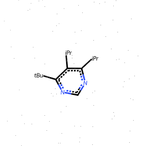 CC(C)c1ncnc(C(C)(C)C)c1C(C)C